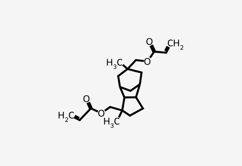 C=CC(=O)OCC1(C)CC2CC(C1)C1C2CCC1(C)COC(=O)C=C